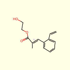 C=Cc1ccccc1/C=C(\C)C(=O)OCCO